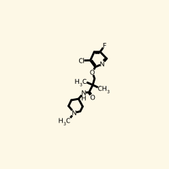 CN1CCC(NC(=O)C(C)(C)COc2ncc(F)cc2Cl)CC1